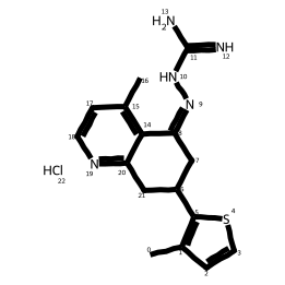 Cc1ccsc1C1C/C(=N/NC(=N)N)c2c(C)ccnc2C1.Cl